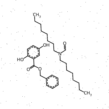 CCCCCCCCN(C=O)CCCCCCCC.O=C(OCc1ccccc1)c1cc(O)ccc1O